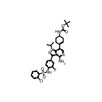 CC(C)n1nc(-c2ccc(NS(=O)(=O)c3ccccc3Cl)c(F)c2)c2c(N)ncc(C3=CCC(NC(=O)OC(C)(C)C)CC3)c21